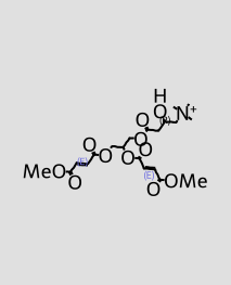 COC(=O)/C=C/C(=O)OCC(COC(=O)C[C@@H](O)C[N+](C)(C)C)OC(=O)/C=C/C(=O)OC